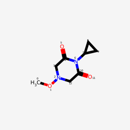 CON1CC(=O)N(C2CC2)C(=O)C1